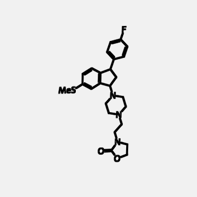 CSc1ccc2c(c1)C(N1CCN(CCN3CCOC3=O)CC1)CC2c1ccc(F)cc1